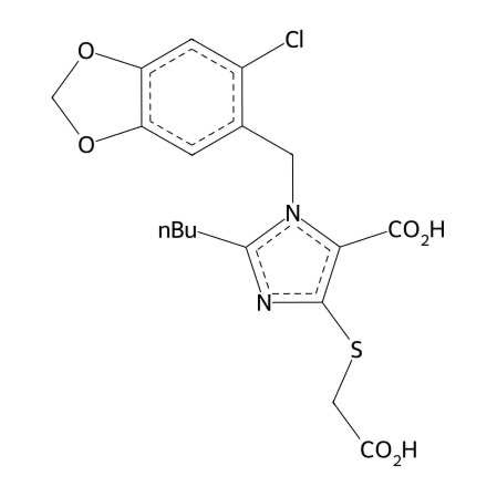 CCCCc1nc(SCC(=O)O)c(C(=O)O)n1Cc1cc2c(cc1Cl)OCO2